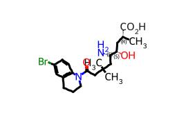 C[C@H](C[C@H](O)[C@@H](N)CC(C)(C)CC(=O)N1CCCc2cc(Br)ccc21)C(=O)O